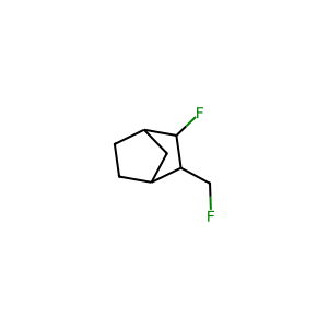 FCC1C2CCC(C2)C1F